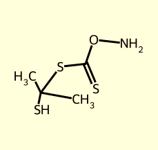 CC(C)(S)SC(=S)ON